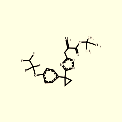 C=C(Cc1nc(C2(c3ccc(OC(F)(F)C(F)F)cc3)CC2)no1)C(=O)OC(C)(C)C